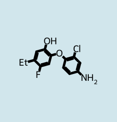 CCc1cc(O)c(Oc2ccc(N)cc2Cl)cc1F